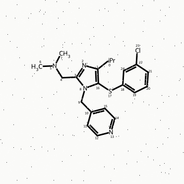 CC(C)c1nc(CN(C)C)n(Cc2ccncc2)c1Sc1cccc(Cl)c1